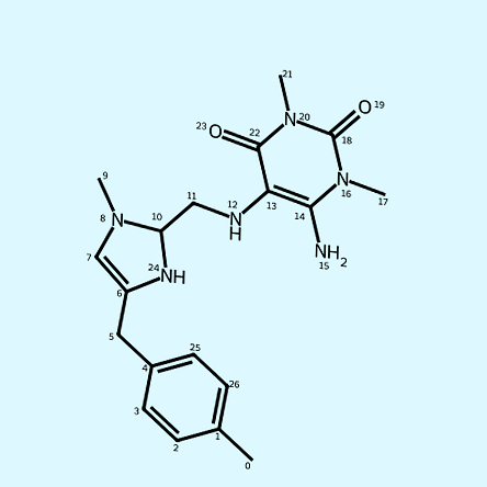 Cc1ccc(CC2=CN(C)C(CNc3c(N)n(C)c(=O)n(C)c3=O)N2)cc1